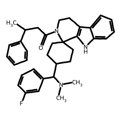 CC(CC(=O)N1CCc2c([nH]c3ccccc23)C12CCC(C(c1cccc(F)c1)N(C)C)CC2)c1ccccc1